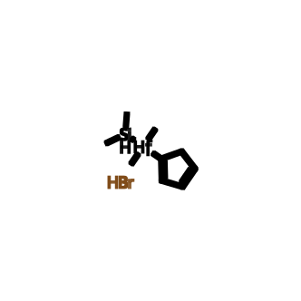 Br.C[SiH](C)[Hf]([CH3])([CH3])[C]1=CC=CC1